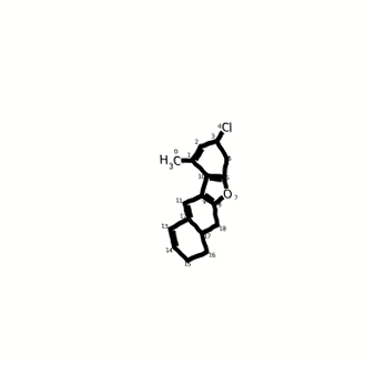 CC1=CC(Cl)Cc2oc3c(c21)C=C1C=CCCC1C3